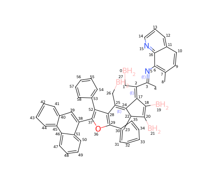 BCC(/C(C)=N/c1c(C)ccc2cccnc12)=C1/C(B)=C(B)C(C)/C1=C(/CB)c1c(-c2ccccc2)oc(-c2cc3ccccc3c3ccccc23)c1-c1ccccc1